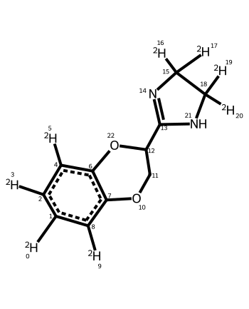 [2H]c1c([2H])c([2H])c2c(c1[2H])OCC(C1=NC([2H])([2H])C([2H])([2H])N1)O2